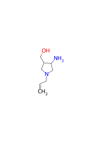 C=CCN1CC(N)C(CO)C1